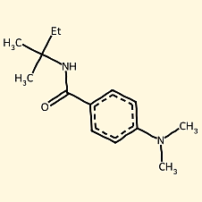 CCC(C)(C)NC(=O)c1ccc(N(C)C)cc1